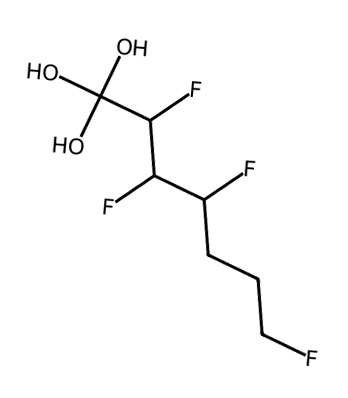 OC(O)(O)C(F)C(F)C(F)CCCF